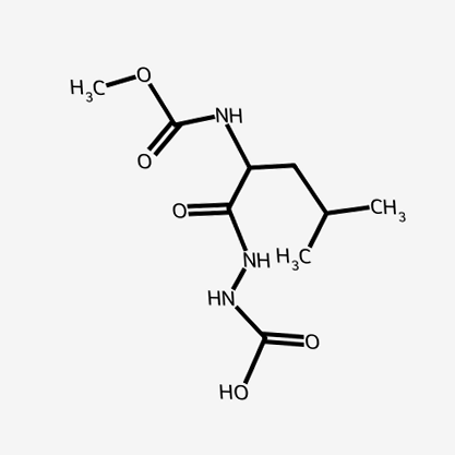 COC(=O)NC(CC(C)C)C(=O)NNC(=O)O